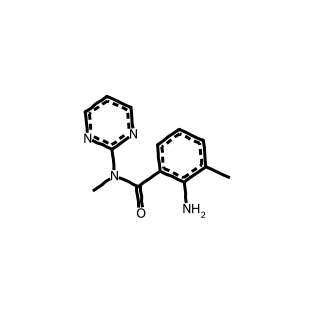 Cc1cccc(C(=O)N(C)c2ncccn2)c1N